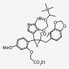 CCCCc1ncc(C2(c3ccc(OC)cc3OCC(=O)OCC)SC2(Cc2ccc3c(c2)OCO3)C(=O)O)n1OCOC(C)[Si](C)(C)C